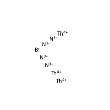 [B].[N-3].[N-3].[N-3].[N-3].[Th+4].[Th+4].[Th+4]